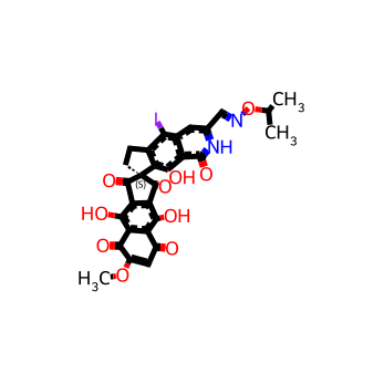 COC1=CC(=O)c2c(O)c3c(c(O)c2C1=O)C(=O)[C@]1(CCc2c1c(O)c1c(=O)[nH]c(C=NOC(C)C)cc1c2I)C3=O